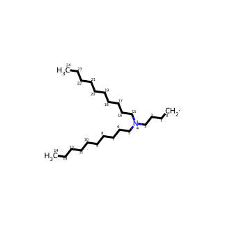 [CH2]CCCN(CCCCCCCCCC)CCCCCCCCCC